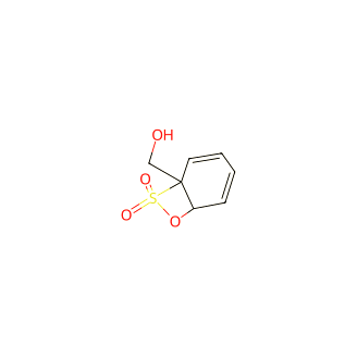 O=S1(=O)OC2C=CC=CC21CO